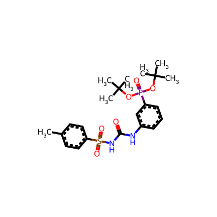 Cc1ccc(S(=O)(=O)NC(=O)Nc2cccc(P(=O)(OC(C)(C)C)OC(C)(C)C)c2)cc1